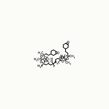 C[Si](C)(CCCC(O)(F)CCC[Si](C)(C)O[Si](C)(C)O[Si](C)(C)CCC1CCC2OC2C1)O[Si](C)(C)O[Si](C)(C)CCC1CCC2OC2C1